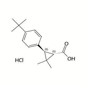 CC(C)(C)c1ccc([C@H]2[C@H](C(=O)O)C2(C)C)cc1.Cl